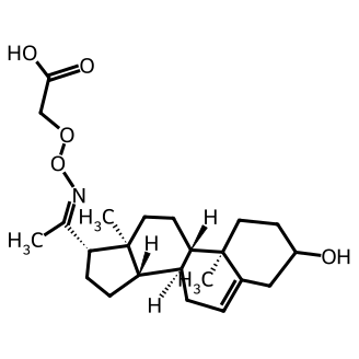 CC(=NOOCC(=O)O)[C@H]1CC[C@H]2[C@@H]3CC=C4CC(O)CC[C@]4(C)[C@H]3CC[C@]12C